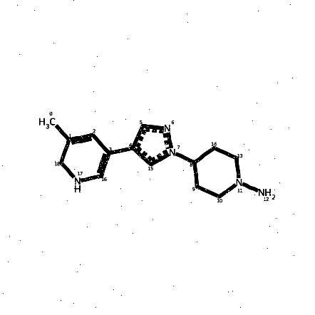 CC1=CC(c2cnn(C3CCN(N)CC3)c2)=CNC1